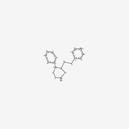 c1ccc(N2CCNCC2CCc2ccncc2)cc1